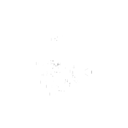 CCOC(=O)[C@@H](C)C[C@H](Cc1ccccc1)NC(=O)c1csc([C@@H](C[C@H](C(C)C)N(C)C(=O)[C@@H](NC(=O)CCCCCNC)C(C)(C)CC)OC(C)=O)n1